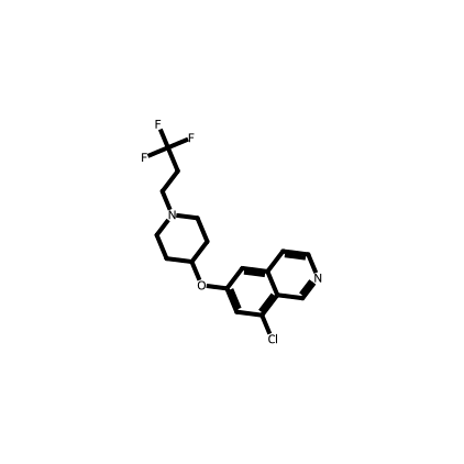 FC(F)(F)CCN1CCC(Oc2cc(Cl)c3cnccc3c2)CC1